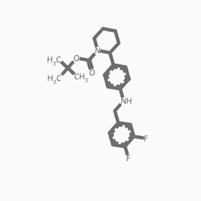 CC(C)(C)OC(=O)N1CCCCC1c1ccc(NCc2ccc(F)c(F)c2)cc1